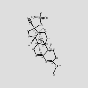 C#C[C@]1(OS(C)(=O)=O)CC[C@H]2[C@@H]3CC=C4C=C(OC)CC[C@]4(C)[C@@]3(O)CC[C@@]21C